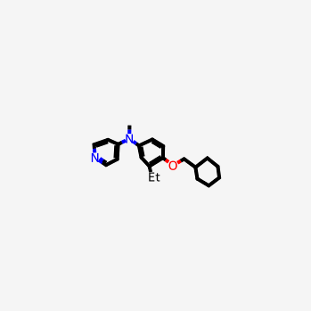 CCc1cc(N(C)c2ccncc2)ccc1OCC1CCCCC1